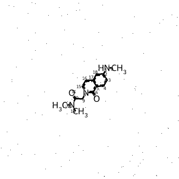 CNc1ccc2c(=O)n(CC(=O)N(C)C)ccc2c1